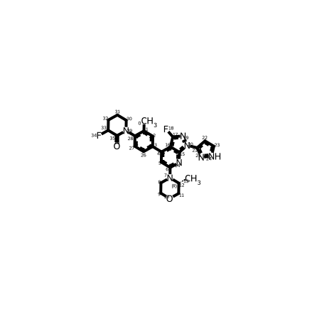 Cc1cc(-c2cc(N3CCOC[C@H]3C)nc3c2c(F)nn3-c2cc[nH]n2)ccc1N1CCCC(F)C1=O